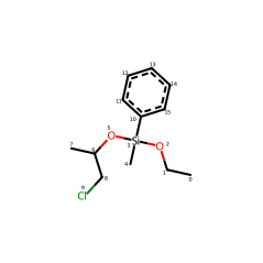 CCO[Si](C)(OC(C)CCl)c1ccccc1